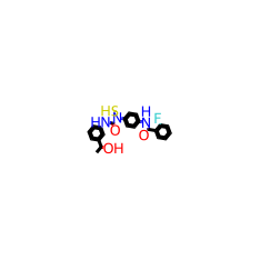 CC(O)c1cccc(NC(=O)N(S)c2ccc(NC(=O)c3ccccc3F)cc2)c1